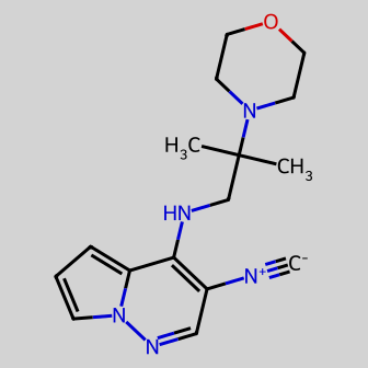 [C-]#[N+]c1cnn2cccc2c1NCC(C)(C)N1CCOCC1